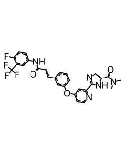 CN(C)C(=O)C1CN=C(c2cc(Oc3cccc(C=CC(=O)Nc4ccc(F)c(C(F)(F)F)c4)c3)ccn2)N1